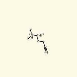 C[SiH](C)CCCC#N.F